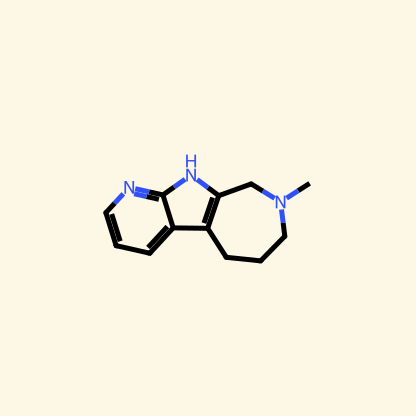 CN1CCCc2c([nH]c3ncccc23)C1